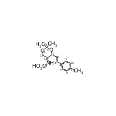 Cc1ccc(C=C[C@@H]2OC(C)(C)OCC2NC(=O)O)cc1